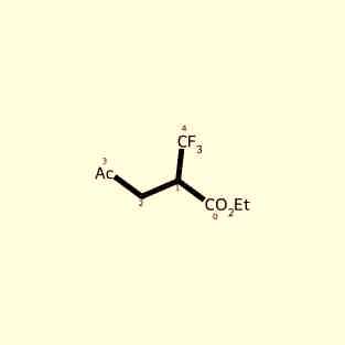 CCOC(=O)C(CC(C)=O)C(F)(F)F